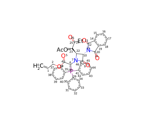 C=CCOC(=O)C(N1C(=O)[C@@H](N2C(=O)c3ccccc3C2=O)[C@@H]1C(OC(C)=O)C(=O)CC)=P(c1ccccc1)(c1ccccc1)c1ccccc1